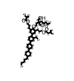 C=C(C)CC(=O)OCCCc1cc(-c2ccc(-c3ccc(C4CCC(CCCCC)CC4)cc3)cc2CC)cc(CCCOC(=O)C(=C)C)c1OCCC(CO)(CO)CCCCC